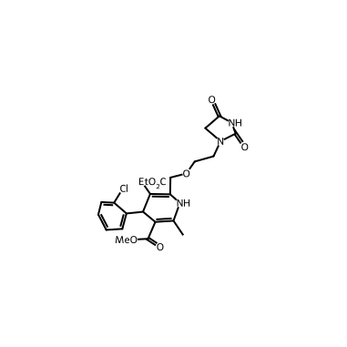 CCOC(=O)C1=C(COCCN2CC(=O)NC2=O)NC(C)=C(C(=O)OC)C1c1ccccc1Cl